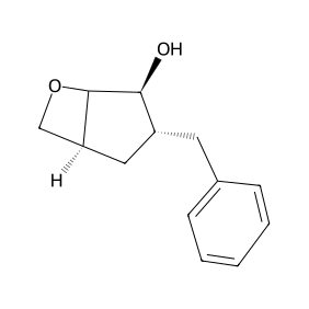 O[C@@H]1C2OC[C@@H]2C[C@H]1Cc1ccccc1